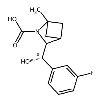 CC12CC(C1)C([C@@H](O)c1cccc(F)c1)N2C(=O)O